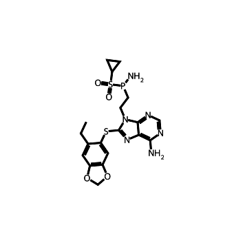 CCc1cc2c(cc1Sc1nc3c(N)ncnc3n1CCP(N)S(=O)(=O)C1CC1)OCO2